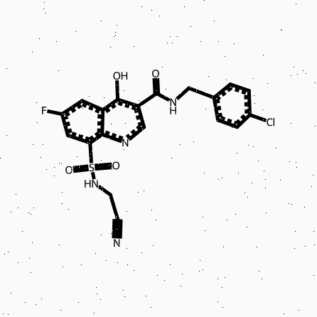 N#CCNS(=O)(=O)c1cc(F)cc2c(O)c(C(=O)NCc3ccc(Cl)cc3)cnc12